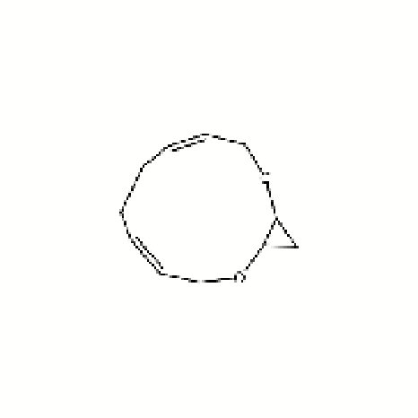 C1=CCCC2CC2OCC=CCC1